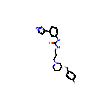 O=C(NCCCN1CCC[C@@H](Cc2ccc(F)cc2)C1)Nc1cccc(-c2cc[nH]n2)c1